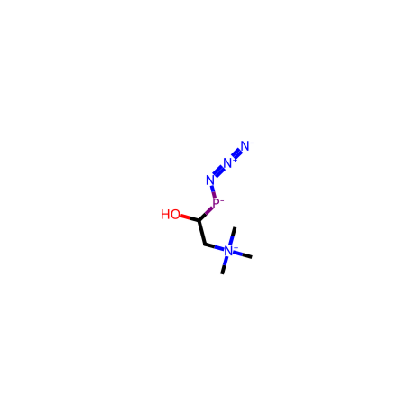 C[N+](C)(C)CC(O)[P-]N=[N+]=[N-]